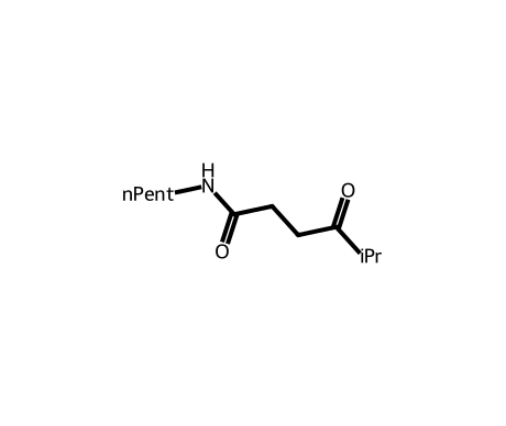 CCCCCNC(=O)CCC(=O)C(C)C